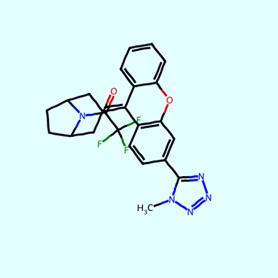 Cn1nnnc1-c1ccc2c(c1)Oc1ccccc1C2=C1CC2CCC(C1)N2C(=O)C(F)(F)F